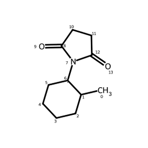 CC1CCCC[C]1N1C(=O)CCC1=O